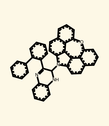 c1ccc(-c2ccccc2C2=Nc3ccccc3NC2n2c3ccc4cccc5oc6cccc7ccc2c(c76)c3c45)cc1